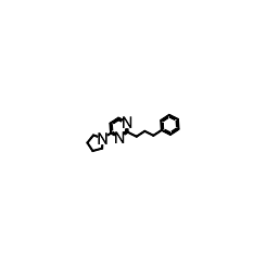 c1ccc(CCCc2nccc(N3CCCC3)n2)cc1